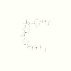 CC(C)[C@@]1(C(=O)O)Cc2cc(Oc3ccc4c(-c5ccc(OC(F)(F)F)cc5)noc4c3)ccc2O1